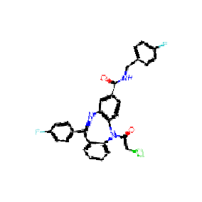 O=C(NCc1ccc(F)cc1)c1ccc2c(c1)N=C(c1ccc(F)cc1)c1ccccc1N2C(=O)CCl